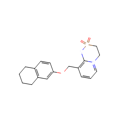 O=S1(=O)CC[n+]2cccc(COc3ccc4c(c3)CCCC4)c2N1